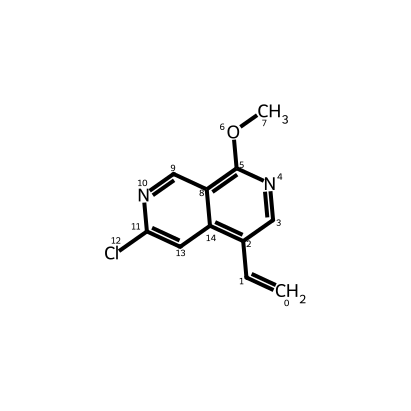 C=Cc1cnc(OC)c2cnc(Cl)cc12